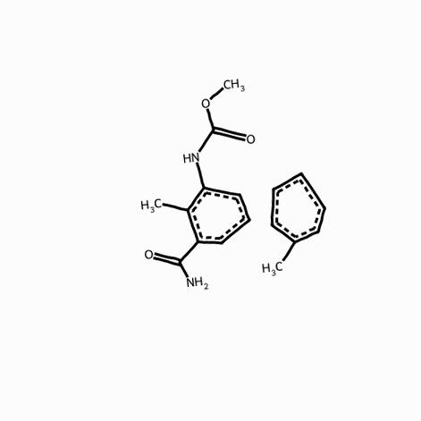 COC(=O)Nc1cccc(C(N)=O)c1C.Cc1ccccc1